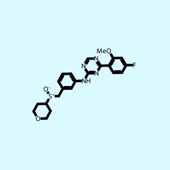 COc1cc(F)ccc1-c1ncnc(Nc2cccc(C[S+]([O-])C3CCOCC3)c2)n1